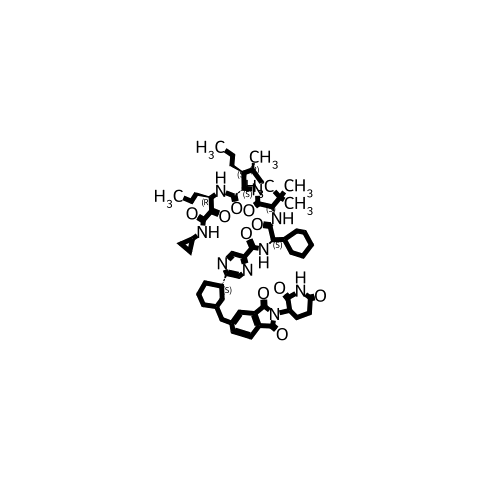 CCC[C@@H]1[C@@H](C(=O)N[C@H](CCC)C(=O)C(=O)NC2CC2)N(C(=O)[C@@H](NC(=O)[C@@H](NC(=O)c2cnc([C@H]3CCCC(Cc4ccc5c(c4)C(=O)N(C4CCC(=O)NC4=O)C5=O)C3)cn2)C2CCCCC2)C(C)(C)C)C[C@@H]1C